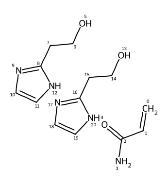 C=CC(N)=O.OCCc1ncc[nH]1.OCCc1ncc[nH]1